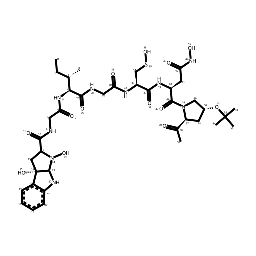 CC[C@H](C)[C@H](NC(=O)CNC(=O)C1C[C@]2(O)c3ccccc3NC2N1O)C(=O)NCC(=O)N[C@@H](CSO)C(=O)N[C@@H](CC(=O)NO)C(=O)N1C[C@H](OC(C)(C)C)C[C@H]1C(C)=O